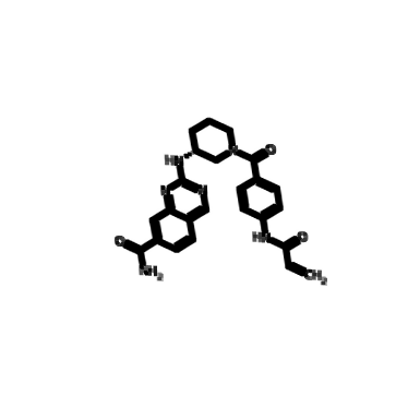 C=CC(=O)Nc1ccc(C(=O)N2CCC[C@@H](Nc3ncc4ccc(C(N)=O)cc4n3)C2)cc1